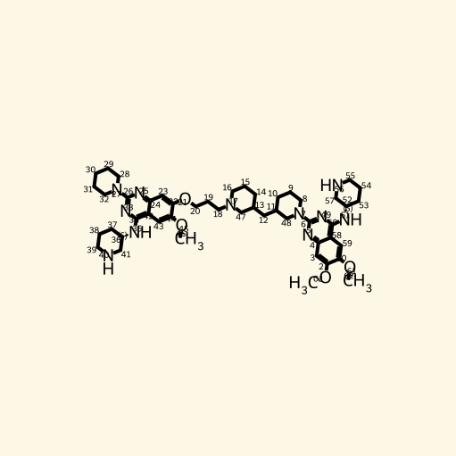 COc1cc2nc(N3CCCC(CC4CCCN(CCCOc5cc6nc(N7CCCCC7)nc(N[C@H]7CCCNC7)c6cc5OC)C4)C3)nc(N[C@H]3CCCNC3)c2cc1OC